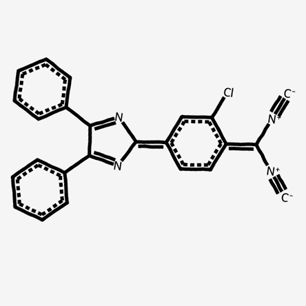 [C-]#[N+]C([N+]#[C-])=c1ccc(=C2N=C(c3ccccc3)C(c3ccccc3)=N2)cc1Cl